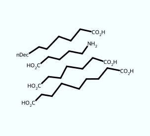 CCCCCCCCCCCCCCCC(=O)O.NCCCCC(=O)O.O=C(O)CCCCCC(=O)O.O=C(O)CCCCCCCC(=O)O